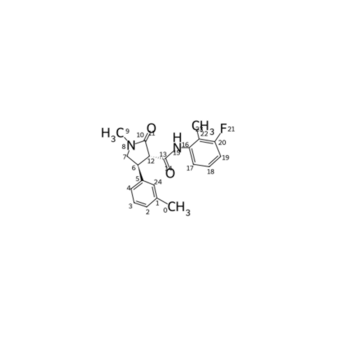 Cc1cccc([C@H]2CN(C)C(=O)[C@@H]2C(=O)Nc2cccc(F)c2C)c1